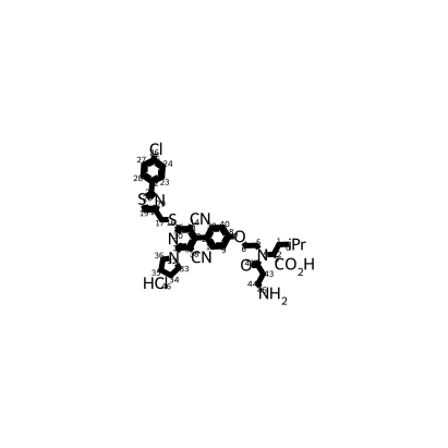 CC(C)C[C@@H](C(=O)O)N(CCOc1ccc(-c2c(C#N)c(SCc3csc(-c4ccc(Cl)cc4)n3)nc(N3CCCC3)c2C#N)cc1)C(=O)CCN.Cl